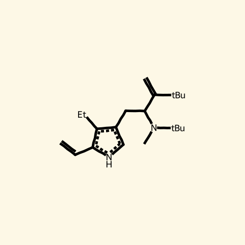 C=Cc1[nH]cc(CC(C(=C)C(C)(C)C)N(C)C(C)(C)C)c1CC